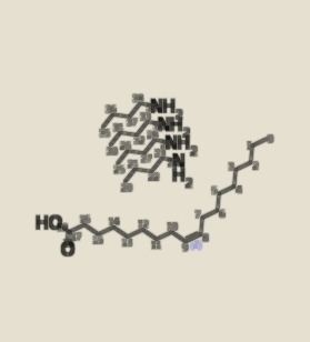 CCCCCCCC/C=C\CCCCCCCC(=O)O.CCCCN.CCCCN.CCCCN.CCCCN